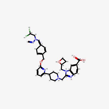 C=NN(/C=C1/C=CC(COc2cccc(C3CCN(Cc4nc5ccc(C(=O)O)cc5n4CC4CCO4)CC3)n2)=CC1)CC(F)F